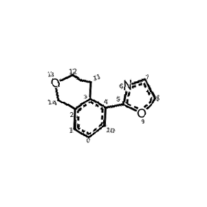 c1cc2c(c(-c3ncco3)c1)CCOC2